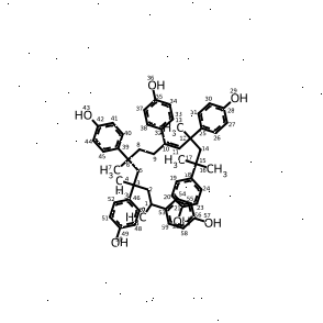 CC(CC(C)(CC(C)(CCC(=CC(C)(CC(C)(C)c1ccc(O)cc1)c1ccc(O)cc1)c1ccc(O)cc1)c1ccc(O)cc1)c1ccc(O)cc1)c1ccc(O)cc1